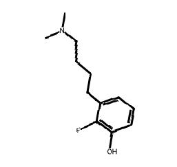 CN(C)CCCCc1cccc(O)c1F